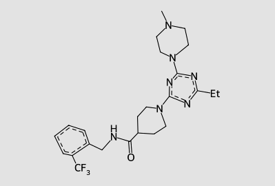 CCc1nc(N2CCC(C(=O)NCc3ccccc3C(F)(F)F)CC2)nc(N2CCN(C)CC2)n1